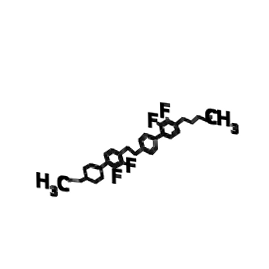 CCCCCc1ccc(-c2ccc(CCc3ccc(C4=CCC(CCC)CC4)c(F)c3F)cc2)c(F)c1F